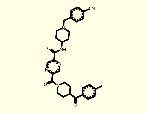 Cc1ccc(C(=O)C2CCN(C(=O)c3cnc(C(=O)NC4CCN(Cc5ccc(C#N)cc5)CC4)cn3)CC2)cc1